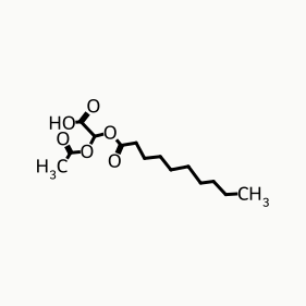 CCCCCCCCCC(=O)OC(OC(C)=O)C(=O)O